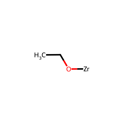 CC[O][Zr]